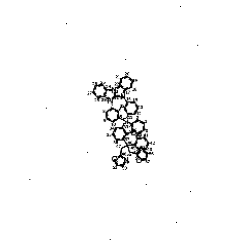 c1ccc([Si](c2ccccc2)(c2cccc(-n3c4ccccc4n4c5ccccc5nc34)c2)c2cccc3c2Oc2ccccc2C3(Cc2ncco2)Cc2ncco2)cc1